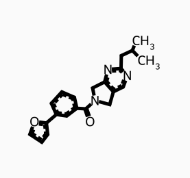 CC(C)Cc1ncc2c(n1)CN(C(=O)c1cccc(-c3ccco3)c1)C2